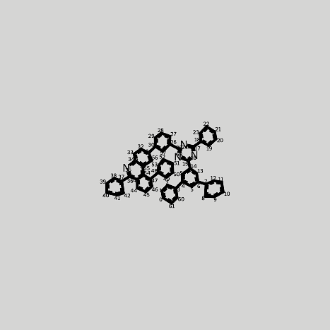 c1ccc(-c2cc(-c3ccccc3)cc(-c3nc(-c4ccccc4)nc(-c4cccc(-c5ccc6nc(-c7ccccc7)c7cccc(-c8ccccc8)c7c6c5)c4)n3)c2)cc1